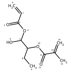 C=CC(=O)OC(O)C(CC)OC(=O)C(=C)C